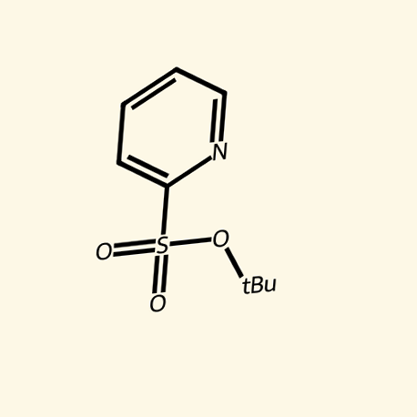 CC(C)(C)OS(=O)(=O)c1ccccn1